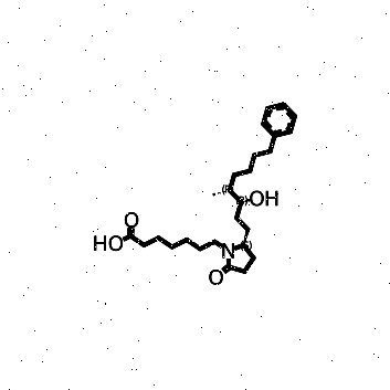 C[C@H](CCCCc1ccccc1)[C@H](O)CC[C@H]1CCC(=O)N1CCCCCCC(=O)O